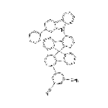 N#Cc1cc(C#N)cc(-c2cccc3c2-c2ccccc2C32c3ccccc3-c3c(-n4c5ccccc5c5ccc(-c6ccccc6)cc54)cccc32)c1